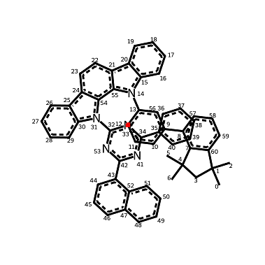 CC1(C)CC(C)(C)c2c(-c3cccc(-n4c5ccccc5c5ccc6c7ccccc7n(-c7nc(-c8ccccc8)nc(-c8cccc9ccccc89)n7)c6c54)c3)cccc21